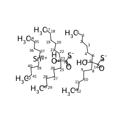 CCCCCCC(O)(CCCCCC)C(=O)[S-].CCCCCCC(O)(CCCCCC)C(=O)[S-].CCC[CH2][Sn+2][CH2]CCC